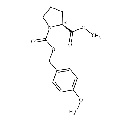 COC(=O)[C@@H]1C[CH]CN1C(=O)OCc1ccc(OC)cc1